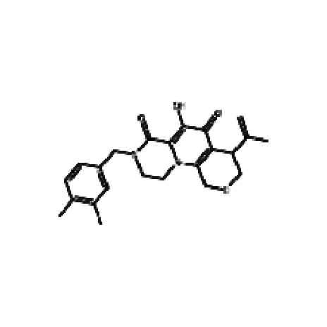 C=C(C)C1COCc2c1c(=O)c(O)c1n2CCN(Cc2ccc(C)c(C)c2)C1=O